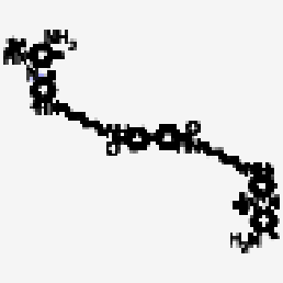 C=C1C=C(NCCCCCCNC(=O)c2ccc(-c3ccc(C(=O)NCCCCCCNc4cc5c(cc4C)nc4cc(C)c(N)cc4[n+]5C(C)(C)C)cc3)cc2)C(C)=C/C1=N/c1cc(C)c(N)cc1NC(C)(C)C